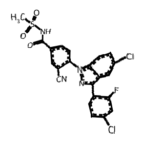 CS(=O)(=O)NC(=O)c1ccc(-n2nc(-c3ccc(Cl)cc3F)c3cc(Cl)ccc32)c(C#N)c1